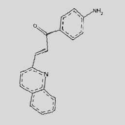 Nc1ccc(C(=O)C=Cc2ccc3ccccc3n2)cc1